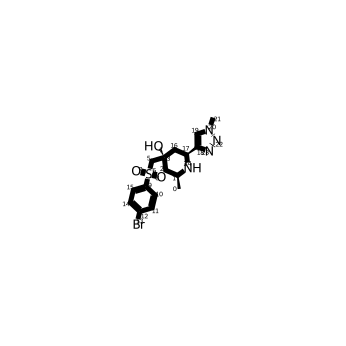 C[C@H]1C[C@@](O)(CS(=O)(=O)c2ccc(Br)cc2)C[C@@H](c2cn(C)nn2)N1